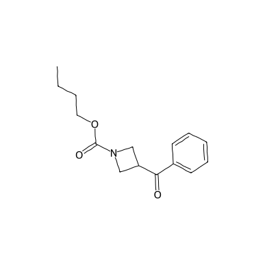 CCCCOC(=O)N1CC(C(=O)c2ccccc2)C1